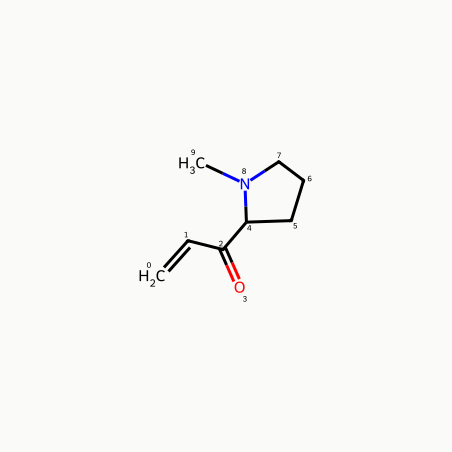 C=CC(=O)C1CCCN1C